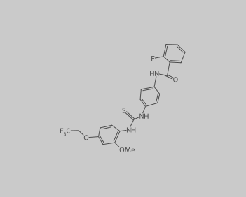 COc1cc(OCC(F)(F)F)ccc1NC(=S)Nc1ccc(NC(=O)c2ccccc2F)cc1